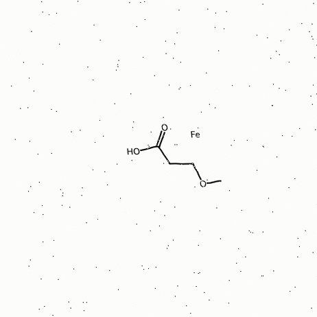 COCCC(=O)O.[Fe]